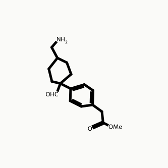 COC(=O)Cc1ccc(C2(C=O)CCC(CN)CC2)cc1